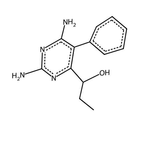 CCC(O)c1nc(N)nc(N)c1-c1ccccc1